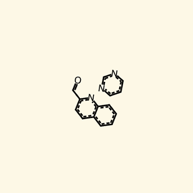 O=Cc1ccc2ccccc2n1.c1cncnc1